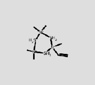 C=C[N+]1(C)[SiH2][N+](C)(C)[SiH2][N+](C)(C)[SiH2]1